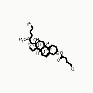 CC(C)CCC[C@@H](C)[C@H]1CC[C@H]2[C@@H]3CC=C4C[C@@H](OC(=O)CCCCl)CC[C@]4(C)[C@H]3CC[C@]12C